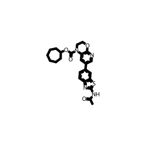 CC(=O)Nc1nc2ccc(-c3cnc4c(c3)N(C(=O)OC3CCCCCC3)CCO4)cc2s1